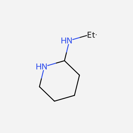 C[CH]NC1CCCCN1